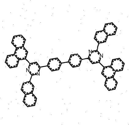 c1ccc2cc(-c3nc(-c4ccc(-c5ccc(-c6cc(-c7cc8ccccc8c8ccccc78)nc(-c7ccc8ccccc8c7)n6)cc5)cc4)cc(-c4cc5ccccc5c5ccccc45)n3)ccc2c1